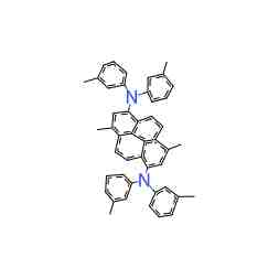 Cc1cccc(N(c2cccc(C)c2)c2cc(C)c3ccc4c(N(c5cccc(C)c5)c5cccc(C)c5)cc(C)c5ccc2c3c54)c1